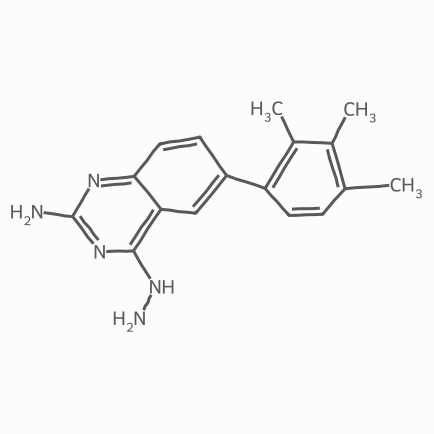 Cc1ccc(-c2ccc3nc(N)nc(NN)c3c2)c(C)c1C